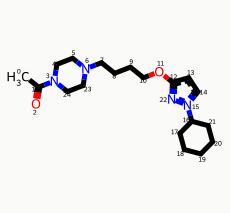 CC(=O)N1CCN(CCCCOc2ccn(C3CCCCC3)n2)CC1